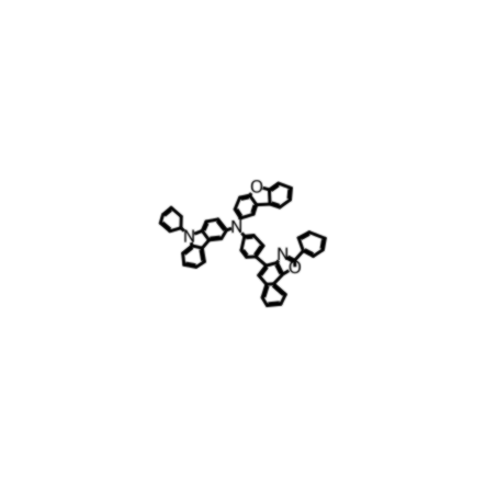 C1=CCC(n2c3ccccc3c3cc(N(c4ccc(-c5cc6ccccc6c6oc(-c7ccccc7)nc56)cc4)c4ccc5oc6ccccc6c5c4)ccc32)C=C1